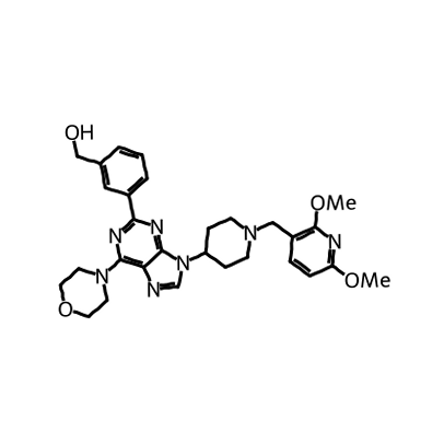 COc1ccc(CN2CCC(n3cnc4c(N5CCOCC5)nc(-c5cccc(CO)c5)nc43)CC2)c(OC)n1